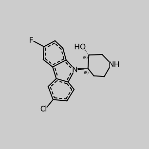 O[C@@H]1CNCC[C@H]1n1c2ccc(F)cc2c2cc(Cl)ccc21